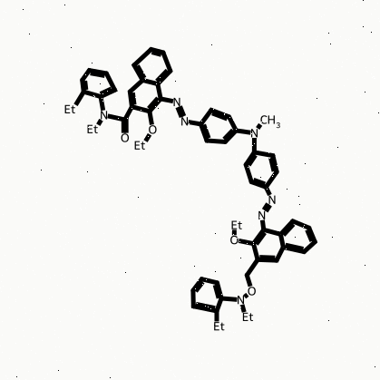 CCOc1c(CON(CC)c2ccccc2CC)cc2ccccc2c1N=Nc1ccc(N(C)c2ccc(N=Nc3c(OCC)c(C(=O)N(CC)c4ccccc4CC)cc4ccccc34)cc2)cc1